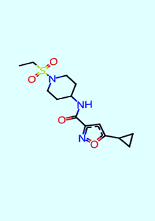 CCS(=O)(=O)N1CCC(NC(=O)c2cc(C3CC3)on2)CC1